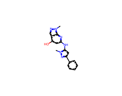 Cn1nc(-c2ccccc2)cc1Nc1cc(O)c2cnn(C)c2n1